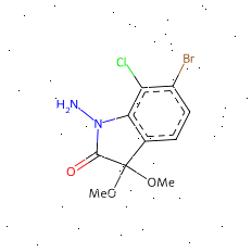 COC1(OC)C(=O)N(N)c2c1ccc(Br)c2Cl